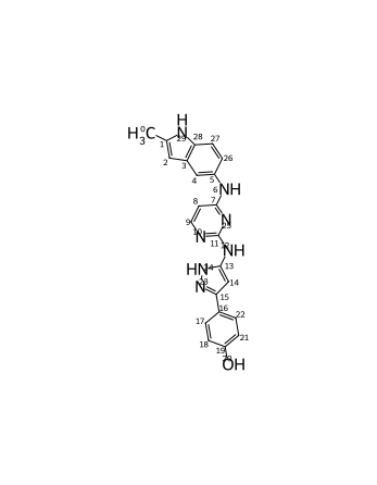 Cc1cc2cc(Nc3ccnc(Nc4cc(-c5ccc(O)cc5)n[nH]4)n3)ccc2[nH]1